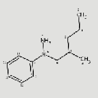 CCCC(C)CN(N)c1ccccc1